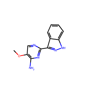 COc1cnc(-c2n[nH]c3ccccc23)nc1N